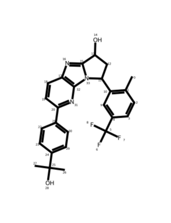 Cc1ccc(C(F)(F)F)cc1C1CC(O)c2nc3ccc(-c4ccc(C(C)(C)O)cc4)nc3n21